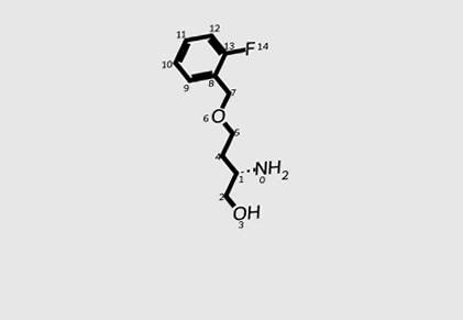 N[C@H](CO)CCOCc1ccccc1F